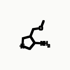 COCC1C[N]CC1N